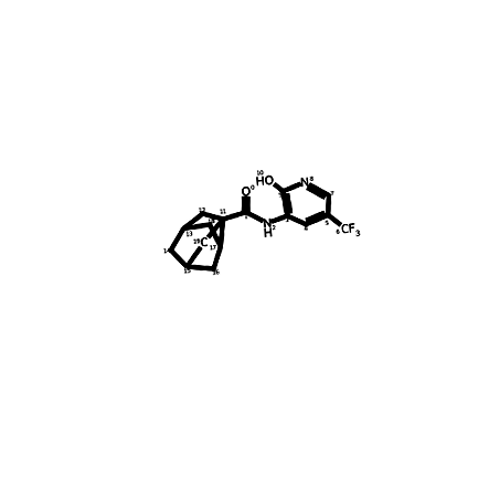 O=C(Nc1cc(C(F)(F)F)cnc1O)C12CC3CC(CC1C3)C2